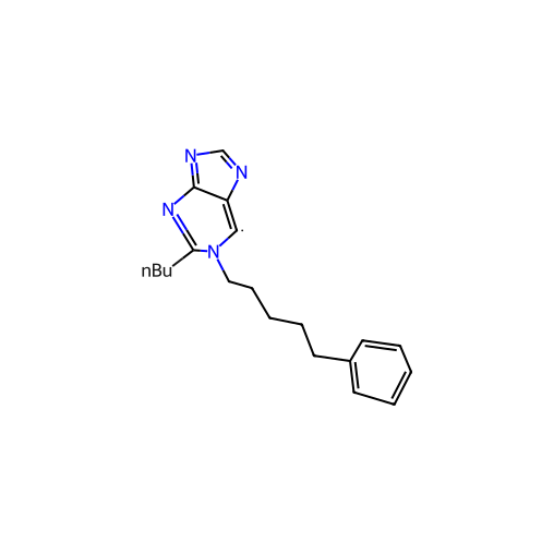 CCCCc1nc2ncnc-2[c]n1CCCCCc1ccccc1